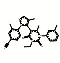 CCn1c(=O)c(-c2c(C)cnn2-c2ccc(C#N)cc2F)c(C)n(-c2cccc(C)c2)c1=O